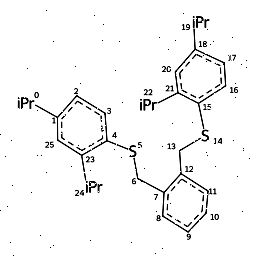 CC(C)c1ccc(SCc2ccccc2CSc2ccc(C(C)C)cc2C(C)C)c(C(C)C)c1